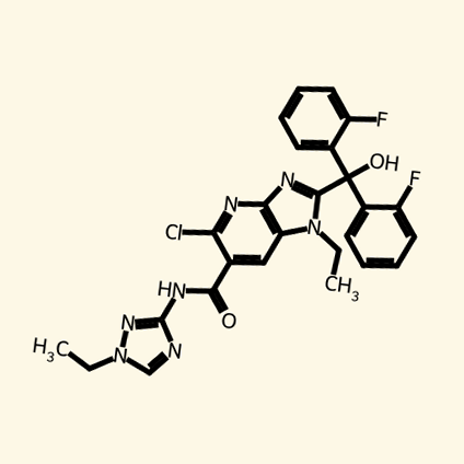 CCn1cnc(NC(=O)c2cc3c(nc2Cl)nc(C(O)(c2ccccc2F)c2ccccc2F)n3CC)n1